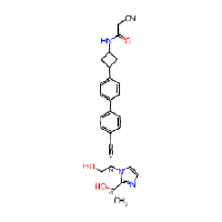 C[C@H](O)c1nccn1[C@@H](C#Cc1ccc(-c2ccc(C3CC(NC(=O)CC#N)C3)cc2)cc1)CO